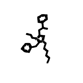 CCCCCCn1cc(CC(C)c2ccccc2)[n+](CCC)c1Cc1ccccc1